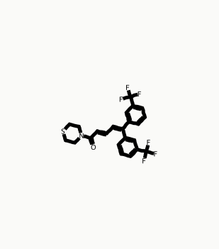 O=C(C=CC=C(c1cccc(C(F)(F)F)c1)c1cccc(C(F)(F)F)c1)N1CCSCC1